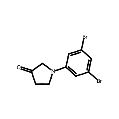 O=C1CCN(c2cc(Br)cc(Br)c2)C1